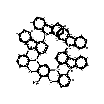 Cc1c2c(cc3c1Oc1cccc4c1B3c1ccc(-n3c5ccccc5c5ccccc53)c3c5ccccc5n-4c13)B1c3c(cccc3-n3c4ccccc4c4c(-n5c6ccccc6c6ccccc65)ccc1c43)O2